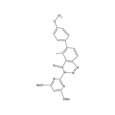 COc1cc(OC)nc(-n2nnc3ccc(-c4ccc(OC(F)(F)F)cc4)c(C)c3c2=O)n1